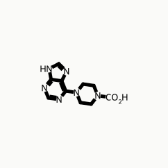 O=C(O)N1CCN(c2ncnc3[nH]cnc23)CC1